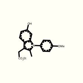 CCOC(=O)Cc1c(C)n(-c2ccc(OC)cc2)c2cc(O)ccc12